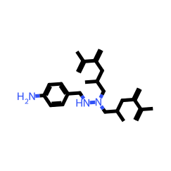 C=C(C)C(=C)CC(C)CN(CC(C)CC(=C)C(=C)C)NCc1ccc(N)cc1